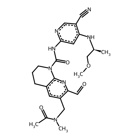 COC[C@H](C)Nc1cc(NC(=O)N2CCCc3cc(CN(C)C(C)=O)c(C=O)nc32)ncc1C#N